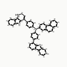 C1=C(c2ccc(N(c3ccc(-c4cccc5c4oc4cnccc45)cc3)c3ccc4c(ccc5ccccc54)c3)cc2)c2oc3ccccc3c2NC1